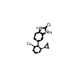 O=c1[nH]c2ccc(-c3c(Cl)cccc3C3CC3)cc2[nH]1